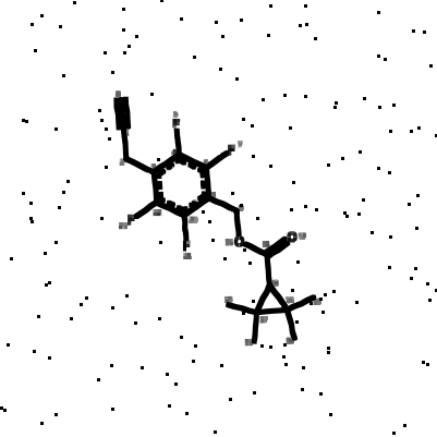 C#CCc1c(F)c(F)c(COC(=O)C2C(C)(C)C2(C)C)c(F)c1F